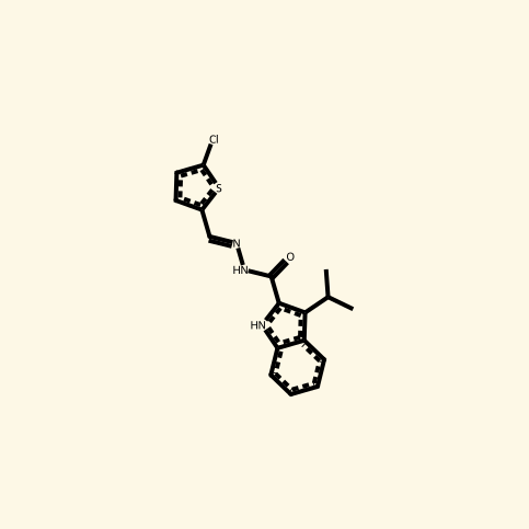 CC(C)c1c(C(=O)NN=Cc2ccc(Cl)s2)[nH]c2ccccc12